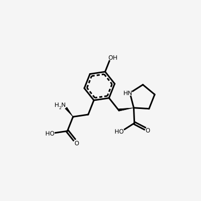 N[C@@H](Cc1ccc(O)cc1C[C@]1(C(=O)O)CCCN1)C(=O)O